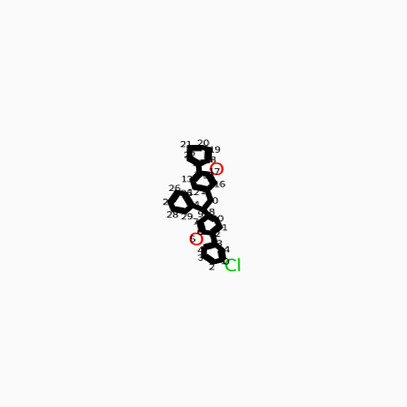 Clc1ccc2oc3cc(C(Cc4ccc5c(c4)oc4ccccc45)c4ccccc4)ccc3c2c1